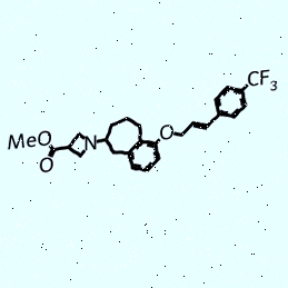 COC(=O)C1CN(C2CCCc3c(cccc3OC/C=C/c3ccc(C(F)(F)F)cc3)C2)C1